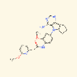 COc1cccc(CC(=O)Nc2ccc(-n3c4c(c5ncnc(N)c53)CCC4)cc2OC)n1